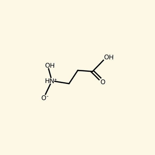 O=C(O)CC[NH+]([O-])O